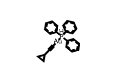 [C](#CC1CC1)[Au][PH](c1ccccc1)(c1ccccc1)c1ccccc1